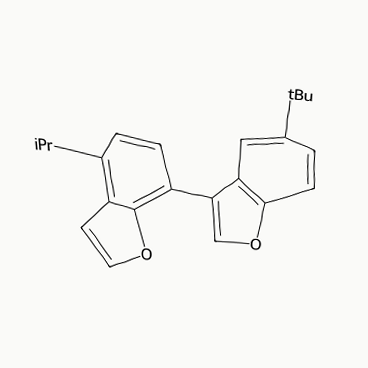 CC(C)c1ccc(-c2coc3ccc(C(C)(C)C)cc23)c2occc12